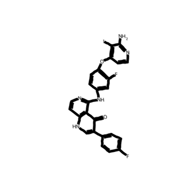 Nc1nccc(Oc2ccc(Nc3nccc4[nH]cc(-c5ccc(F)cc5)c(=O)c34)cc2F)c1I